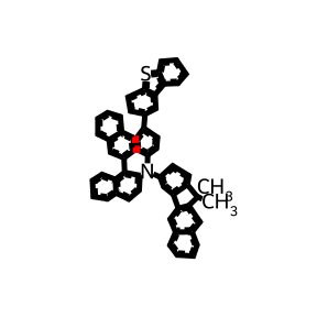 CC1(C)c2ccc(N(c3ccc(-c4ccc5sc6ccccc6c5c4)cc3)c3ccc4ccccc4c3-c3ccc4ccccc4c3)cc2-c2cc3ccccc3cc21